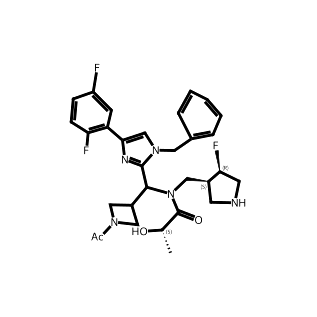 CC(=O)N1CC(C(c2nc(-c3cc(F)ccc3F)cn2Cc2ccccc2)N(C[C@@H]2CNC[C@@H]2F)C(=O)[C@H](C)O)C1